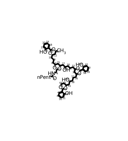 CCCCCC(=O)NCC1OC(CCCC2CC(C)OC(c3ccccc3O)O2)CC(CC(O)CCCC2CC(CCCC(O)CC3CCOC(c4ccccc4O)O3)OC(c3ccccc3O)O2)O1